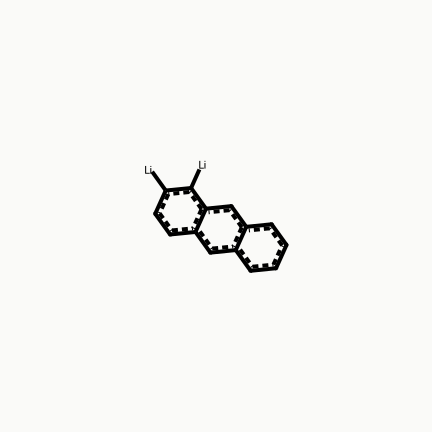 [Li][c]1ccc2cc3ccccc3cc2[c]1[Li]